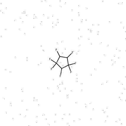 FC1C(F)C(F)(F)C(F)C1(F)F